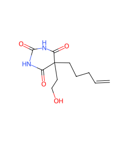 C=CCCCC1(CCO)C(=O)NC(=O)NC1=O